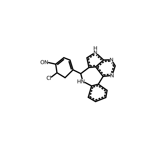 O=NC1=CC=C(C2Nc3ccccc3-c3ncnc4[nH]cc2c34)CC1Cl